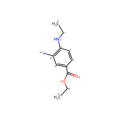 CCNc1ccc(C(=O)OCC)cc1I